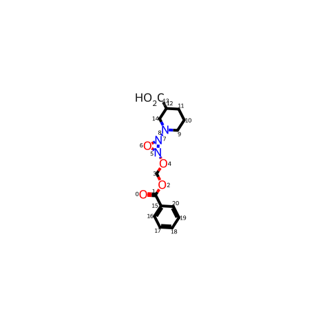 O=C(OCOn1on1N1CCCC(C(=O)O)C1)c1ccccc1